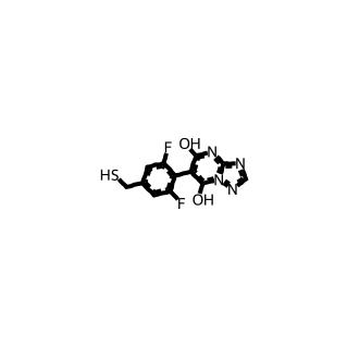 Oc1nc2ncnn2c(O)c1-c1c(F)cc(CS)cc1F